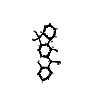 Cc1ccccc1N(c1ccc2c(c1C)-c1ccccc1C2(C)C)C(C)(C)C